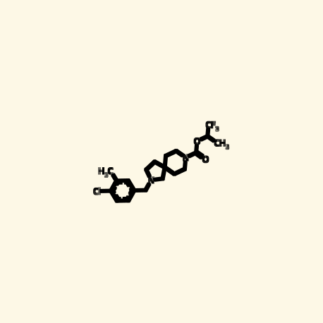 Cc1cc(CN2CCC3(CCN(C(=O)OC(C)C(F)(F)F)CC3)C2)ccc1Cl